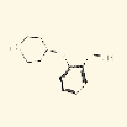 COc1c[c]ccc1OC1CCNCC1